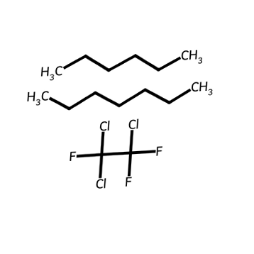 CCCCCC.CCCCCCC.FC(F)(Cl)C(F)(Cl)Cl